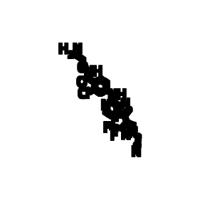 N#CCn1cc(-c2cnc3c(Nc4ccc(C(=O)NOCCN)c(Cl)c4)nccn23)c(C(F)(F)F)n1